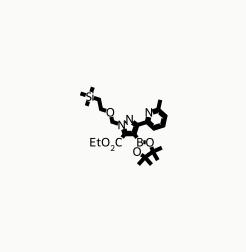 CCOC(=O)c1c(B2OC(C)(C)C(C)(C)O2)c(-c2cccc(C)n2)nn1COCC[Si](C)(C)C